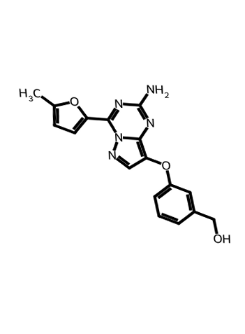 Cc1ccc(-c2nc(N)nc3c(Oc4cccc(CO)c4)cnn23)o1